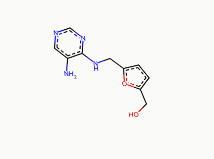 Nc1cncnc1NCc1ccc(CO)o1